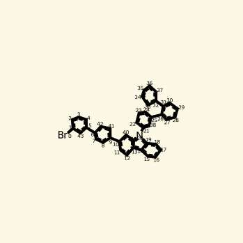 Brc1cccc(-c2ccc(-c3ccc4c5ccccc5n(-c5cccc(-c6ccccc6-c6ccccc6)c5)c4c3)cc2)c1